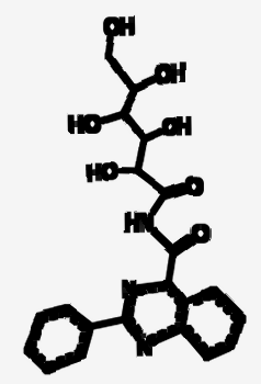 O=C(NC(=O)C(O)C(O)C(O)C(O)CO)c1nc(-c2ccccc2)nc2ccccc12